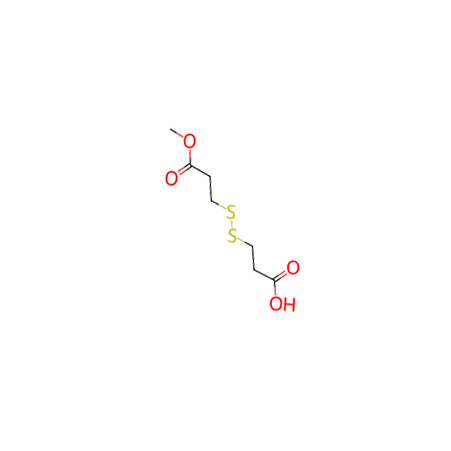 COC(=O)CCSSCCC(=O)O